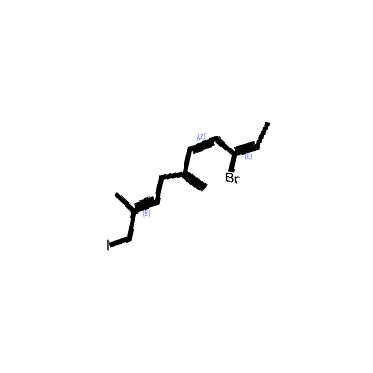 C=C(/C=C\C(Br)=C/C)C/C=C(\C)CI